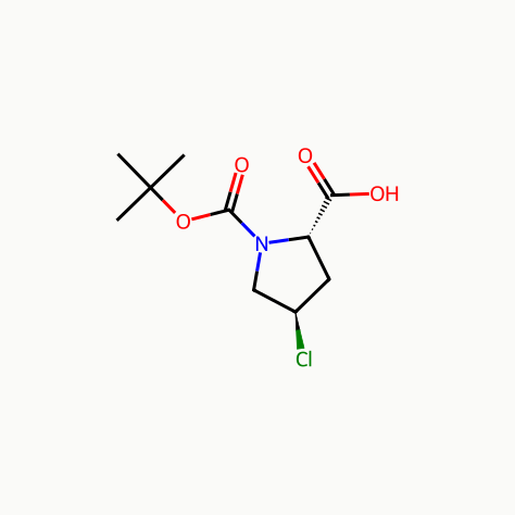 CC(C)(C)OC(=O)N1C[C@H](Cl)C[C@H]1C(=O)O